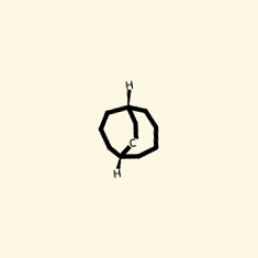 C1CC[C@H]2CCC[C@@H](C1)CCC2